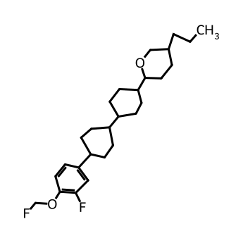 CCCC1CCC(C2CCC(C3CCC(c4ccc(OCF)c(F)c4)CC3)CC2)OC1